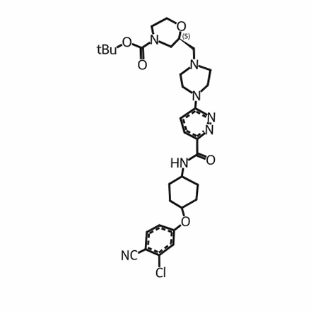 CC(C)(C)OC(=O)N1CCO[C@@H](CN2CCN(c3ccc(C(=O)NC4CCC(Oc5ccc(C#N)c(Cl)c5)CC4)nn3)CC2)C1